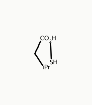 CC(C)CC(=O)O.CS